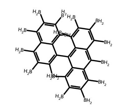 Bc1c(B)c(B)c2c(-c3c4c(B)c(B)c(B)c(B)c4c(B)c4c(B)c(B)c(B)c(B)c34)c(B)c(B)c(B)c2c1B